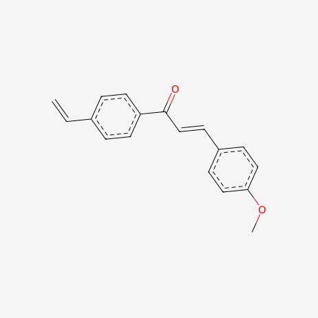 C=Cc1ccc(C(=O)C=Cc2ccc(OC)cc2)cc1